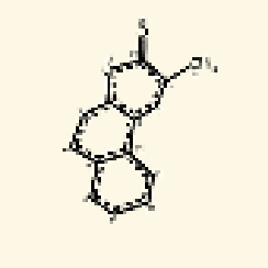 Cc1cc2c(ccc3ccccc32)oc1=O